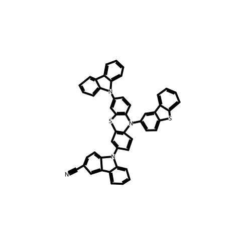 N#Cc1ccc2c(c1)c1ccccc1n2-c1ccc2c(c1)Sc1cc(-n3c4ccccc4c4ccccc43)ccc1N2c1ccc2sc3ccccc3c2c1